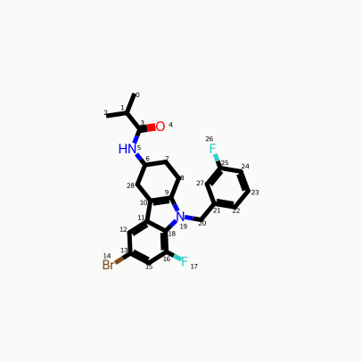 CC(C)C(=O)NC1CCc2c(c3cc(Br)cc(F)c3n2Cc2cccc(F)c2)C1